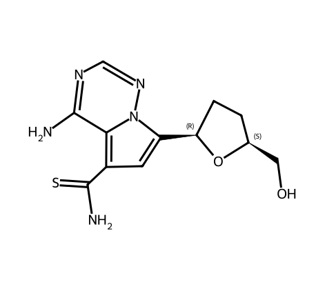 NC(=S)c1cc([C@H]2CC[C@@H](CO)O2)n2ncnc(N)c12